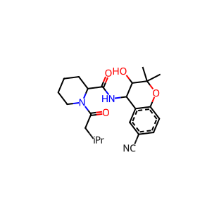 CC(C)CC(=O)N1CCCCC1C(=O)NC1c2cc(C#N)ccc2OC(C)(C)C1O